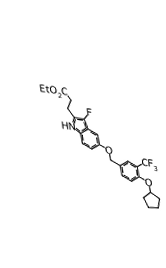 CCOC(=O)CCc1[nH]c2ccc(OCc3ccc(OC4CCCC4)c(C(F)(F)F)c3)cc2c1F